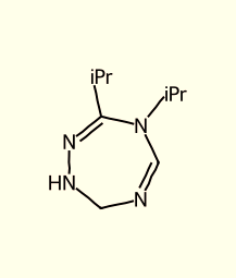 CC(C)C1=NNCN=CN1C(C)C